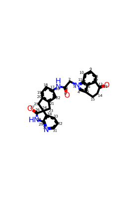 O=C(Cn1cc2c3c(cccc31)C(=O)CC2)Nc1ccc2c(c1)CC1(C2)C(=O)Nc2ncccc21